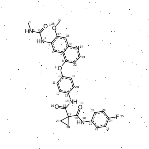 CNC(=O)Nc1cc2c(Oc3ccc(NC(=O)C4(C(=O)Nc5ccc(F)cc5)CC4)cc3)ccnc2cc1OC